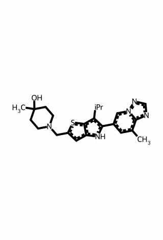 Cc1cc(-c2[nH]c3cc(CN4CCC(C)(O)CC4)sc3c2C(C)C)cn2ncnc12